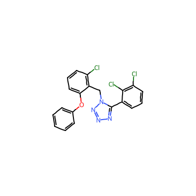 Clc1cccc(-c2nnnn2Cc2c(Cl)cccc2Oc2ccccc2)c1Cl